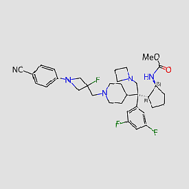 COC(=O)N[C@H]1CCC[C@@H]1C(CN1CCC1)(c1cc(F)cc(F)c1)C1CCN(CC2(F)CN(c3ccc(C#N)cc3)C2)CC1